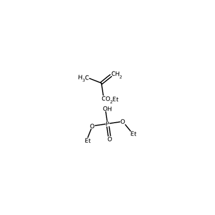 C=C(C)C(=O)OCC.CCOP(=O)(O)OCC